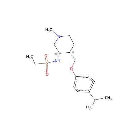 CCS(=O)(=O)N[C@@H]1CN(C)CC[C@@H]1COc1ccc(C(C)C)cc1